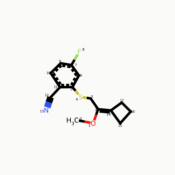 COC(CSc1cc(F)ccc1C#N)=C1CCC1